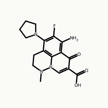 CN1CCc2c(N3CCCC3)c(F)c(N)c3c(=O)c(C(=O)O)cn1c23